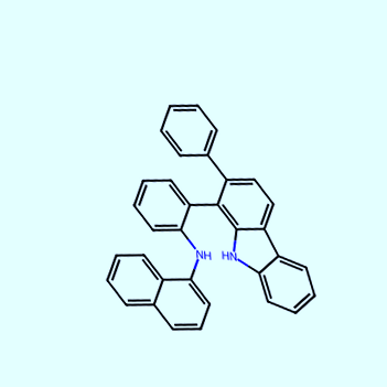 c1ccc(-c2ccc3c([nH]c4ccccc43)c2-c2ccccc2Nc2cccc3ccccc23)cc1